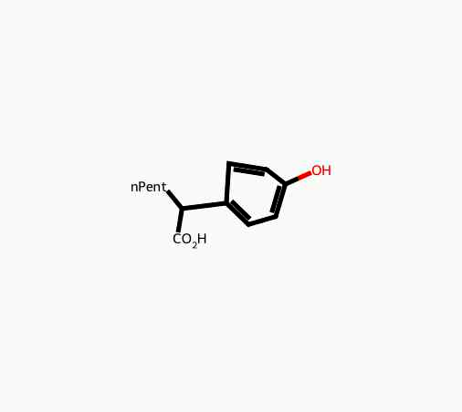 CCCCCC(C(=O)O)c1ccc(O)cc1